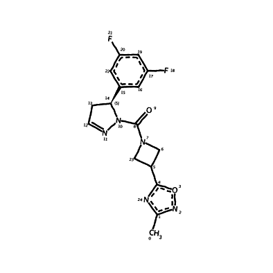 Cc1noc(C2CN(C(=O)N3N=CC[C@H]3c3cc(F)cc(F)c3)C2)n1